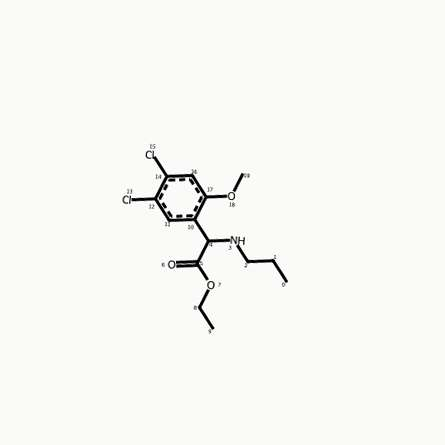 CCCNC(C(=O)OCC)c1cc(Cl)c(Cl)cc1OC